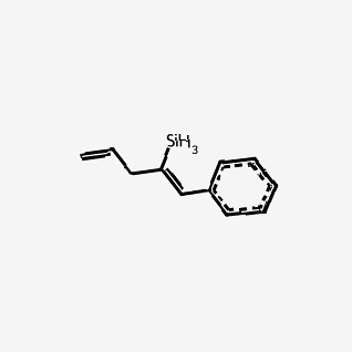 C=CCC([SiH3])=Cc1ccccc1